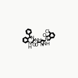 O=C(NC1N=C(c2ccccc2)c2ccccc2NC1=O)c1cc(N2Cc3cccc(Cl)c3C2=O)[nH]n1